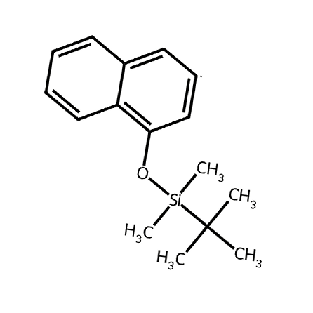 CC(C)(C)[Si](C)(C)Oc1c[c]cc2ccccc12